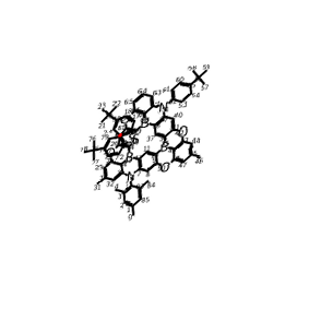 Cc1cc(C)c(N2c3cc4c(cc3B3c5sc6ccc(C(C)(C)C)cc6c5Oc5cc(C)cc2c53)B2c3cc5c(cc3Oc3cc(C)cc(c32)O4)N(c2ccc(C(C)(C)C)cc2)c2cccc3c2B5c2sc4ccc(C(C)(C)C)cc4c2O3)c(C)c1